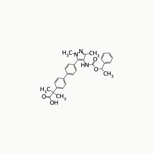 Cc1nn(C)c(-c2ccc(-c3ccc(C(C)(C)C(=O)O)cc3)cc2)c1NC(=O)OC(C)c1ccccc1